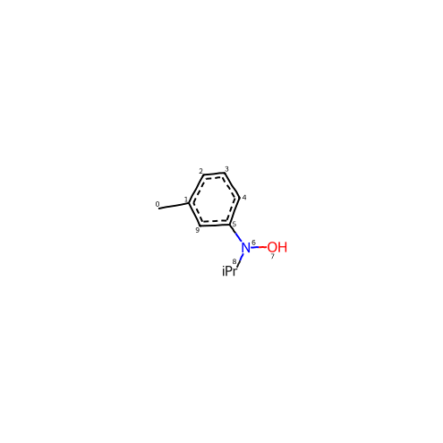 Cc1cccc(N(O)C(C)C)c1